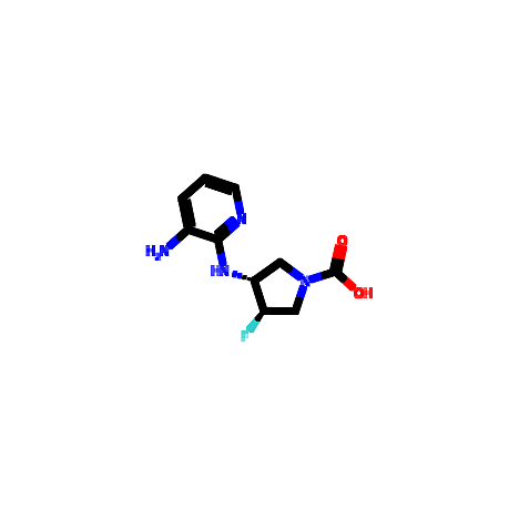 Nc1cccnc1N[C@@H]1CN(C(=O)O)C[C@H]1F